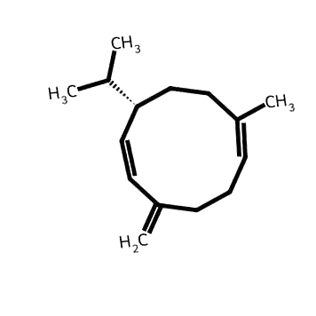 C=C1/C=C\[C@H](C(C)C)CC/C(C)=C\CC1